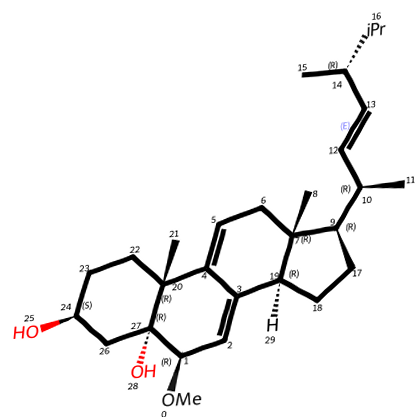 CO[C@@H]1C=C2C(=CC[C@]3(C)[C@@H]([C@H](C)/C=C/[C@H](C)C(C)C)CC[C@@H]23)[C@@]2(C)CC[C@H](O)C[C@]12O